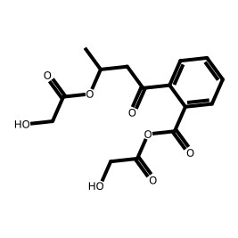 CC(CC(=O)c1ccccc1C(=O)OC(=O)CO)OC(=O)CO